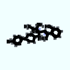 N=C(N)/C(N)=C(/C=C(\N)c1ccccc1O)NC1CCN(c2ncc(Br)cn2)CC1